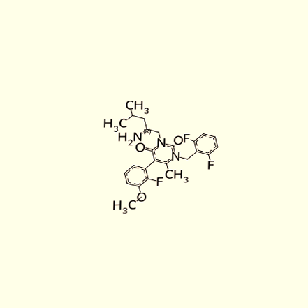 COc1cccc(-c2c(C)n(Cc3c(F)cccc3F)c(=O)n(C[C@H](N)CC(C)C)c2=O)c1F